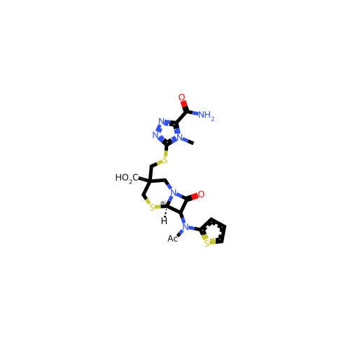 CC(=O)N(c1cccs1)C1C(=O)N2CC(CSc3nnc(C(N)=O)n3C)(C(=O)O)CS[C@H]12